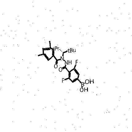 CCC[C@@H](N(NC(=O)c1c(F)cc(B(O)O)cc1F)C(=O)c1cc(C)cc(C)c1)C(C)(C)C